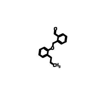 CCCc1ccccc1OCc1ccccc1C=O